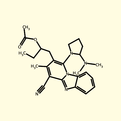 CCC(Cc1c(C)c(C#N)c2nc3ccccc3n2c1N1CCCC1N(C)C)OC(C)=O